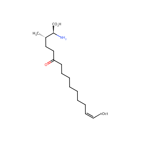 CCCCCCCC/C=C\CCCCCCCC(=O)CC[C@H](C)[C@H](N)C(=O)O